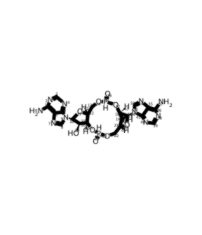 Nc1ncnc2c1ncn2[C@@H]1O[C@@H]2CO[PH](=O)O[C@@H]3[C@H](O)[C@@H](CO[PH](=O)O[C@H]2[C@H]1O)O[C@H]3n1cnc2c(N)ncnc21